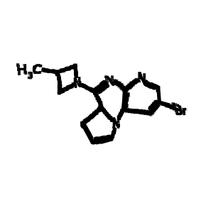 CC1CN(C2=Nc3ncc(Br)cc3N3C=CCC23)C1